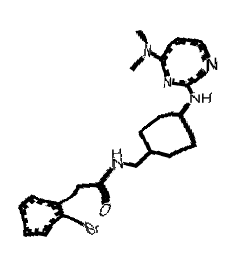 CN(C)c1ccnc(NC2CCC(CNC(=O)Cc3ccccc3Br)CC2)n1